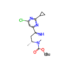 C[C@H](CC(=N)c1cc(Cl)nc(C2CC2)n1)N(C)C(=O)OC(C)(C)C